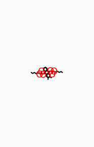 CCCCCOC(=O)Oc1c2ccccc2c(OC(=O)OCCCCC)c2cc(C)c(C)cc12